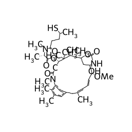 CO[C@@H]1/C=C/C=C(\C)Cc2cc(C)c(C)c(c2)N(C)C(=O)C[C@H](OC(=O)[C@H](C)N(C)C(=O)CCC(C)S)C(C)(C)[C@@H](C)[C@H](C)C2C[C@@]1(O)NC(=O)O2